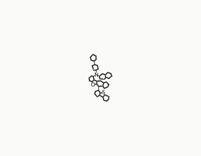 c1ccc(-c2ccc(N(c3ccc4ccccc4c3)c3cccc4oc5c(-c6cccc7c6sc6ccccc67)c6ccccc6cc5c34)cc2)cc1